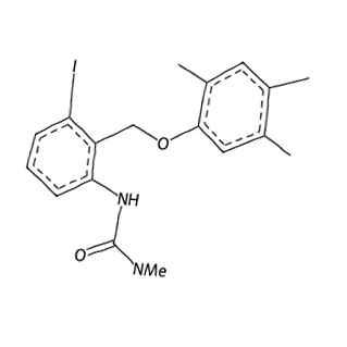 CNC(=O)Nc1cccc(I)c1COc1cc(C)c(C)cc1C